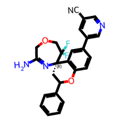 N#Cc1cncc(-c2ccc3c(c2)[C@@]2(CC(c4ccccc4)O3)N=C(N)COCC2(F)F)c1